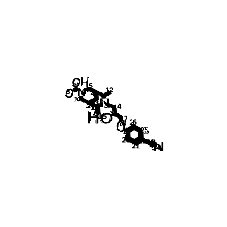 CC1C2CC(CN(C(=O)O)C2)C(C)N1CC(O)COc1ccc(C#N)cc1